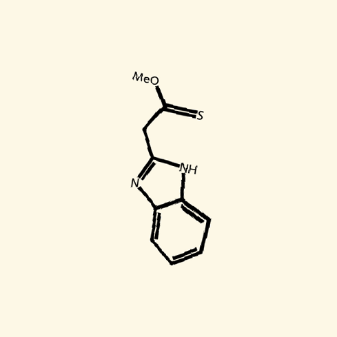 COC(=S)Cc1nc2ccccc2[nH]1